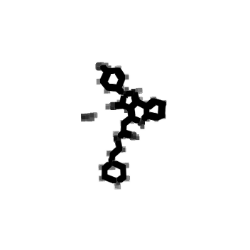 Cl.O=C(Cc1oc2ccccc2c2nn(-c3ccc(Cl)cc3)c(=O)c1-2)OCCN1CCSCC1